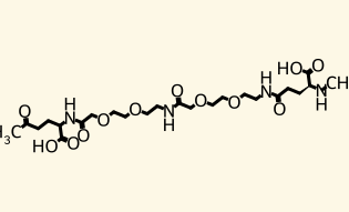 CN[C@@H](CCC(=O)NCCOCCOCC(=O)NCCOCCOCC(=O)NC(CCC(C)=O)C(=O)O)C(=O)O